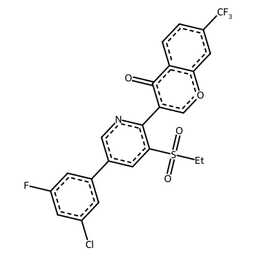 CCS(=O)(=O)c1cc(-c2cc(F)cc(Cl)c2)cnc1-c1coc2cc(C(F)(F)F)ccc2c1=O